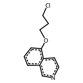 ClCCCOc1cccc2cnccc12